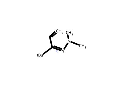 C=C/C(=N\N(C)C)C(C)(C)C